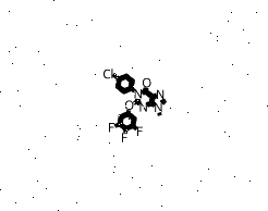 Cn1cnc2c(=O)n(-c3ccc(Cl)cc3)c(Oc3cc(F)c(F)c(F)c3)nc21